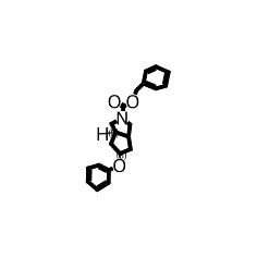 O=C(OCc1ccccc1)N1CC2C[C@H](Oc3ccccc3)C[C@H]2C1